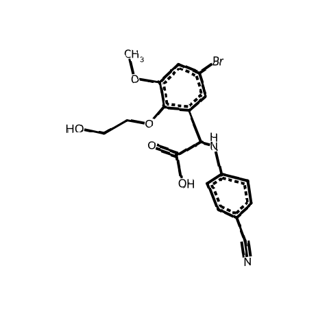 COc1cc(Br)cc(C(Nc2ccc(C#N)cc2)C(=O)O)c1OCCO